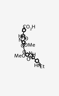 CCNCc1ccc(C2=CN3C(=O)c4cc(OC)c(OCCCOc5cc6c(cc5OC)C(=O)N5C=C(c7ccc(C(=O)O)cc7)C[C@H]5C=N6)cc4N=C[C@@H]3C2)cc1